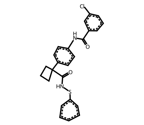 O=C(Nc1ccc(C2(C(=O)NSc3ccccc3)CCC2)cc1)c1cccc(Cl)c1